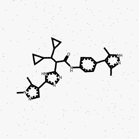 Cc1n[nH]c(C)c1-c1ccc(NC(=O)C(c2nnc(-c3cnn(C)c3C)[nH]2)C(C2CC2)C2CC2)cc1